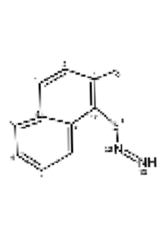 Cc1ccc2ccccc2c1SN=N